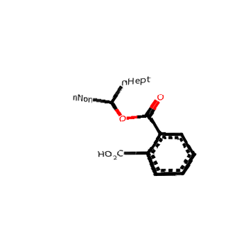 CCCCCCCCCC(CCCCCCC)OC(=O)c1ccccc1C(=O)O